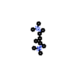 c1ccc(-c2nc(-c3ccccc3)nc(-n3c4ccccc4c4cc(-c5ccc6c(c5)c5ccccc5c5cc7c(cc65)c5ccccc5n7-c5nc(-c6ccccc6)nc(-c6ccccc6)n5)ccc43)n2)cc1